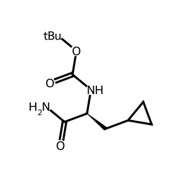 CC(C)(C)OC(=O)N[C@@H](CC1CC1)C(N)=O